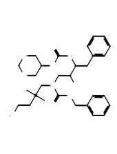 CC(C)(CCC#N)CN(CC(O)C(Cc1ccccc1)NC(=O)OC1COCOC1)C(=O)OCc1ccccc1